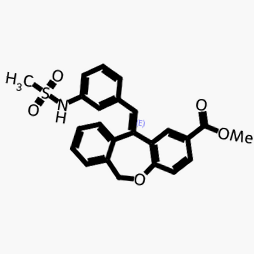 COC(=O)c1ccc2c(c1)/C(=C/c1cccc(NS(C)(=O)=O)c1)c1ccccc1CO2